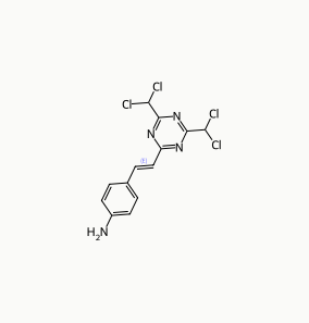 Nc1ccc(/C=C/c2nc(C(Cl)Cl)nc(C(Cl)Cl)n2)cc1